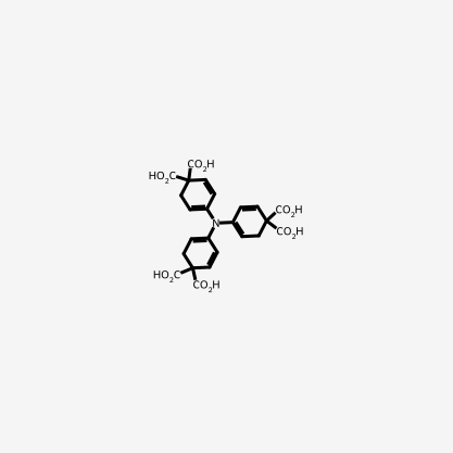 O=C(O)C1(C(=O)O)C=CC(N(C2=CCC(C(=O)O)(C(=O)O)C=C2)C2=CCC(C(=O)O)(C(=O)O)C=C2)=CC1